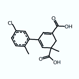 Cc1ccc(Cl)cc1C1=CC(C)(C(=O)O)CC(C(=O)O)=C1